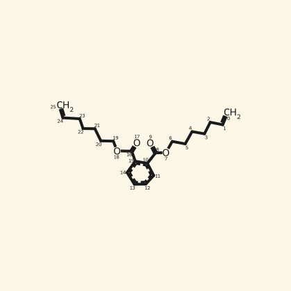 C=CCCCCCOC(=O)c1ccccc1C(=O)OCCCCCC=C